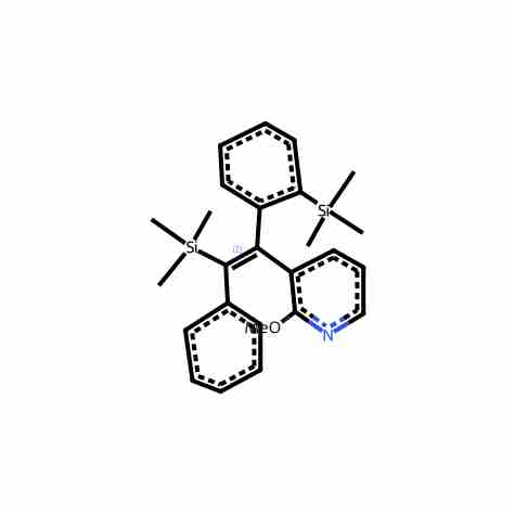 COc1ncccc1/C(=C(\c1ccccc1)[Si](C)(C)C)c1ccccc1[Si](C)(C)C